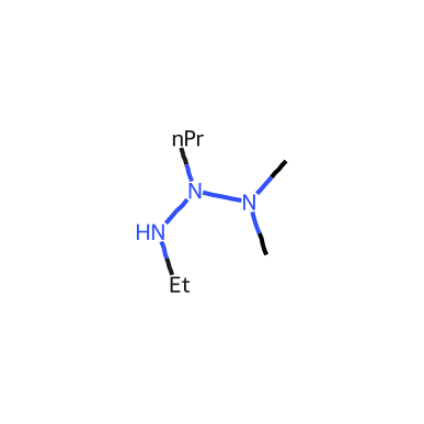 CCCN(NCC)N(C)C